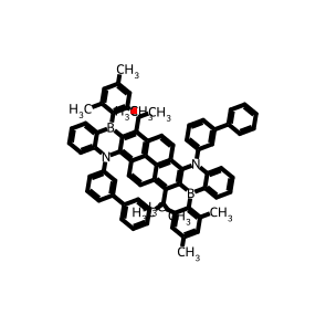 Cc1cc(C)c(B2c3ccccc3N(c3cccc(-c4ccccc4)c3)c3c2c(C(C)C)c2ccc4c5c(c(C(C)C)c6ccc3c2c64)B(c2c(C)cc(C)cc2C)c2ccccc2N5c2cccc(-c3ccccc3)c2)c(C)c1